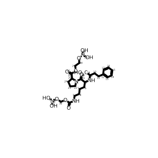 O=C(NCCCCC(NC(CCc1ccccc1)C(=O)O)C(=O)N1CCCC1C(=O)OCCON(O)O)OCON(O)O